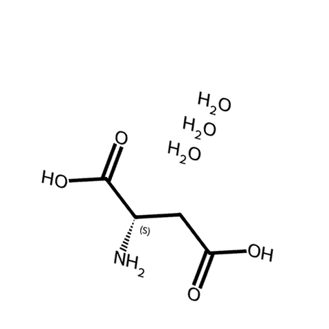 N[C@@H](CC(=O)O)C(=O)O.O.O.O